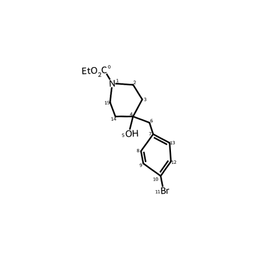 CCOC(=O)N1CCC(O)(Cc2ccc(Br)cc2)CC1